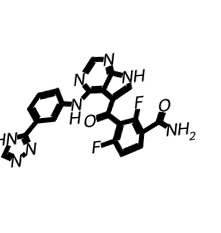 NC(=O)c1ccc(F)c(C(=O)c2c[nH]c3ncnc(Nc4cccc(-c5nnc[nH]5)c4)c23)c1F